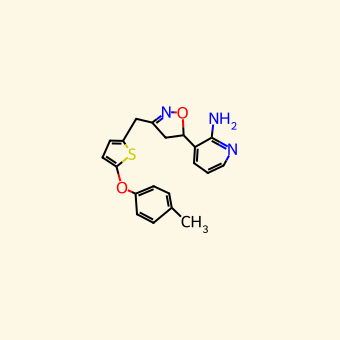 Cc1ccc(Oc2ccc(CC3=NOC(c4cccnc4N)C3)s2)cc1